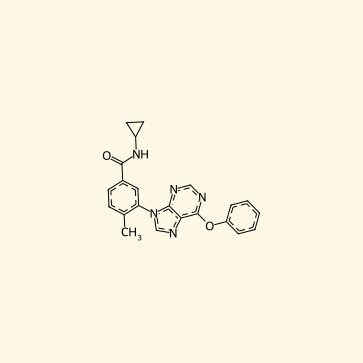 Cc1ccc(C(=O)NC2CC2)cc1-n1cnc2c(Oc3ccccc3)ncnc21